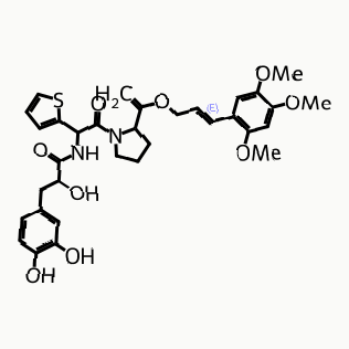 C=C(OC/C=C/c1cc(OC)c(OC)cc1OC)C1CCCN1C(=O)C(NC(=O)C(O)Cc1ccc(O)c(O)c1)c1cccs1